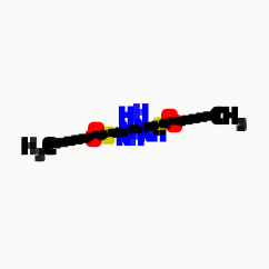 CCCCCCCCCCCCOC(=O)CCSCCCC(=N)NCCCNC(=N)CCCSCCC(=O)OCCCCCCCCCCCC